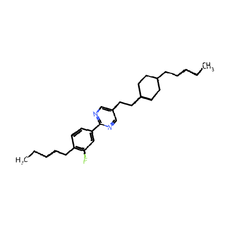 CCCCCc1ccc(-c2ncc(CCC3CCC(CCCCC)CC3)cn2)cc1F